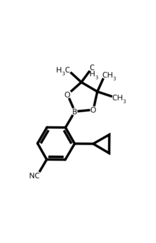 CC1(C)OB(c2ccc(C#N)cc2C2CC2)OC1(C)C